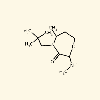 CNC1CCCC(C)N(CC(C)(C)C)C1=O